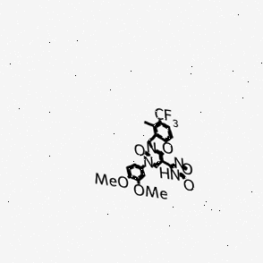 COc1ccc(-n2cc(-c3noc(=O)[nH]3)c(=O)n(Cc3cccc(C(F)(F)F)c3C)c2=O)cc1OC